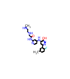 CNCCNCC(=O)Nc1cc(Nc2cc(-c3cc(C)ccc3F)nnc2O)ccn1